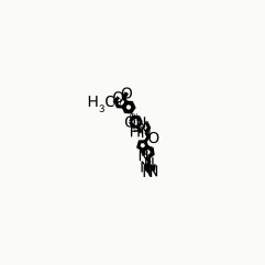 C[C@H]1Cc2cc([C@@H]3CN4CCN(C(=O)C5CCc6nc(-n7cnnn7)ccc65)C[C@H]4CO3)ccc2C(=O)O1